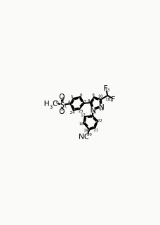 CS(=O)(=O)c1ccc(-c2cc(C(F)F)nn2-c2ccc(C#N)cc2)cc1